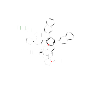 CCC1(CC2=Cc3c(-c4ccc5ccccc5c4)cccc3[CH]2[Zr]([CH3])([CH3])(=[SiH2])[CH]2C(CC3(CC)CCCC3)=Cc3c(-c4ccc5ccccc5c4)cccc32)CCCC1.Cl.Cl